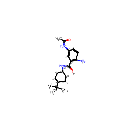 CC(=O)Nc1ccc(N)c(C(=O)NC2CCC(C(C)(C)C)CC2)c1